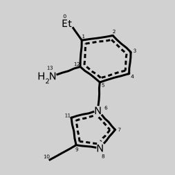 CCc1cccc(-n2cnc(C)c2)c1N